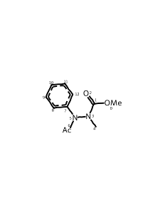 COC(=O)N(C)N(C(C)=O)c1ccccc1